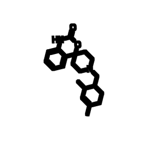 CC1=CC(C)C(CN2CCC3(CC2)OC(=O)Nc2ccccc23)CC1